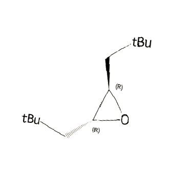 CC(C)(C)C[C@H]1O[C@@H]1CC(C)(C)C